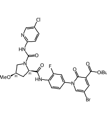 CO[C@@H]1C[C@H](C(=O)Nc2ccc(-n3cc(Br)cc(C(=O)OCC(C)C)c3=O)cc2F)N(C(=O)Nc2ccc(Cl)cn2)C1